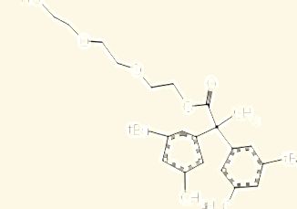 Cc1cc(C(C)(C)C)cc(C(C)(C(=O)OCCOCCOCCO)c2cc(C)cc(C(C)(C)C)c2)c1